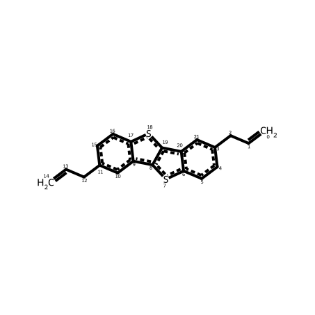 C=CCc1ccc2sc3c4cc(CC=C)ccc4sc3c2c1